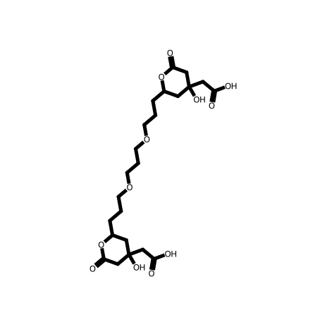 O=C(O)CC1(O)CC(=O)OC(CCCOCCCOCCCC2CC(O)(CC(=O)O)CC(=O)O2)C1